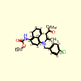 COC(=O)CC(C)N(Cc1ccc(Cl)cc1)c1ccc(NC(=O)OC(C)(C)C)c2c1C=CCC2